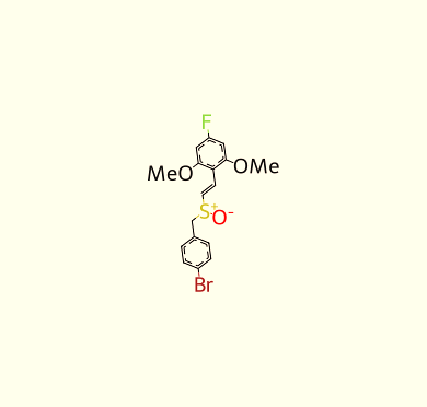 COc1cc(F)cc(OC)c1C=C[S+]([O-])Cc1ccc(Br)cc1